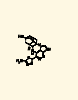 Nc1nnc(-c2nnc3[nH]ccc3c2NC2[C@@H]3CC4C[C@H]2CC(O)(C4)C3)s1